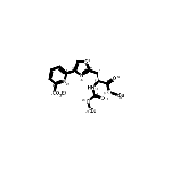 CCOC(=O)c1cccc(-c2csc(C[C@H](NC(=O)OC(C)(C)C)C(=O)OC(C)(C)C)n2)n1